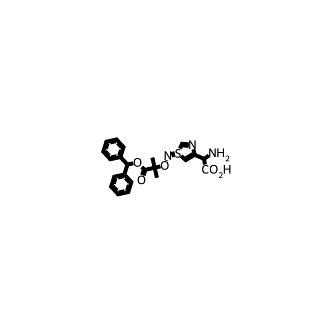 CC(C)(ON=S1C=NC(C(N)C(=O)O)=C1)C(=O)OC(c1ccccc1)c1ccccc1